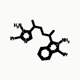 CC(C)c1ncc(C(C)CCC(C)c2c3ccccc3c(C(C)C)n2N)n1N